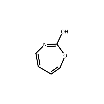 OC1=NC=CC=CO1